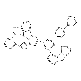 c1ccc(-c2ccc(-c3nc(-c4ccc5c(c4)-c4ccccc4C54c5ccccc5-c5ccccc5-c5ccccc54)cc(-c4cccc5oc6ccccc6c45)n3)cc2)cc1